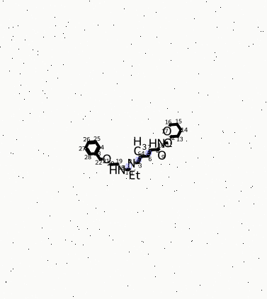 CC\C(=N/C=C(C)/C=C/C(=O)NOC1CCCCO1)NCCOCc1ccccc1